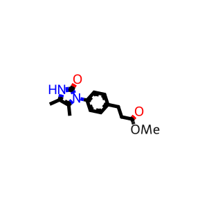 COC(=O)CCc1ccc(-n2c(C)c(C)[nH]c2=O)cc1